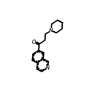 O=C(CCN1CCCCC1)c1ccc2ccncc2c1